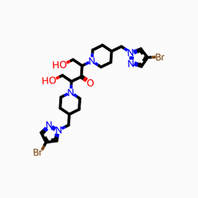 O=C(C(CO)N1CCC(Cn2cc(Br)cn2)CC1)C(CO)N1CCC(Cn2cc(Br)cn2)CC1